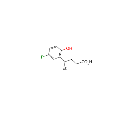 CCC(CCC(=O)O)c1cc(F)ccc1O